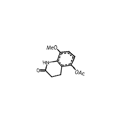 COc1ccc(OC(C)=O)c2c1NC(=O)CC2